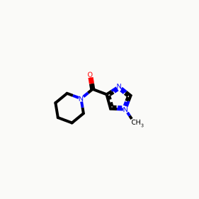 Cn1cnc(C(=O)N2CCCCC2)c1